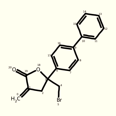 C=C1CC(CBr)(c2ccc(-c3ccccc3)cc2)OC1=O